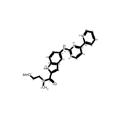 COCCN(C)C(=O)c1cc2cc(Nc3nccc(-c4ccccn4)n3)ccc2[nH]1